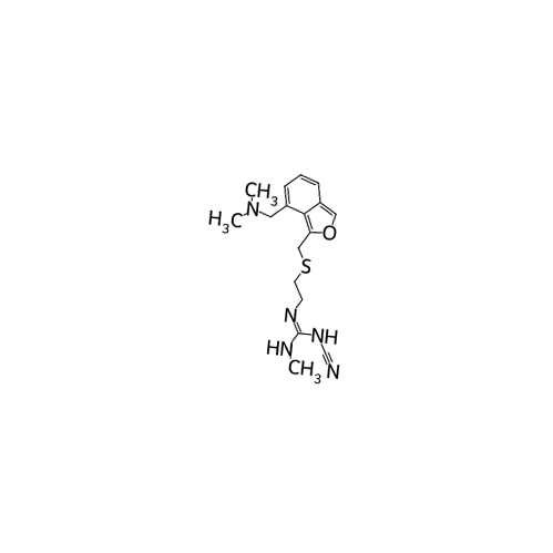 CNC(=NCCSCc1occ2cccc(CN(C)C)c12)NC#N